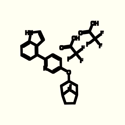 CN1C2CCC1CC(Oc1ccc(-c3cccc4[nH]ccc34)nc1)C2.O=C(O)C(F)(F)F.O=C(O)C(F)(F)F